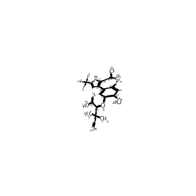 C#CC(C)(C)C(Oc1cc(-c2cc(C(F)(F)F)[nH]c2C(Cl)Cl)c(F)cc1Cl)C(=O)O